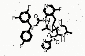 CC(=O)N[C@]1(CCc2c(F)cncc2NC(=O)C[C@@H](c2ccc(F)cc2)c2cc(F)cc(F)c2)NCC(C)NC1S(=O)(=O)c1cscn1